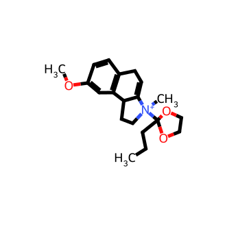 CCCC1([N+]2(C)CCC3C2=CCc2ccc(OC)cc23)OCCO1